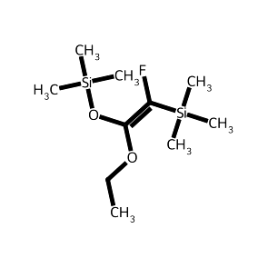 CCOC(O[Si](C)(C)C)=C(F)[Si](C)(C)C